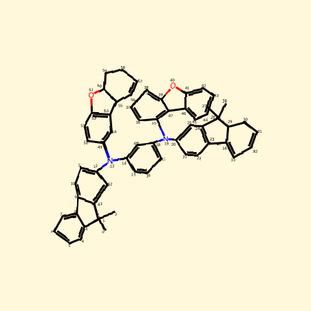 CC1(C)c2ccccc2-c2ccc(N(c3cccc(N(c4ccc5c(c4)C(C)(C)C4CC=CC=C54)c4cccc5oc6ccccc6c45)c3)c3ccc4c(c3)C3C=CCCC3O4)cc21